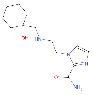 NC(=O)c1n[c]cn1CCNCC1(O)CCCCC1